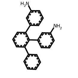 Nc1cccc(-c2cccc(-c3ccccc3)c2-c2cccc(N)c2)c1